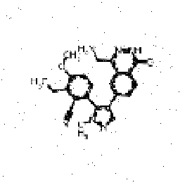 CCc1c(OC)ccc(-c2c(-c3ccc4c(=O)[nH]nc(CN)c4c3)cnn2C)c1C#N